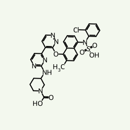 Cc1ccc2c(N(c3ccccc3Cl)S(=O)(=O)O)cccc2c1Oc1nnccc1-c1ccnc(NC2CCCN(C(=O)O)C2)n1